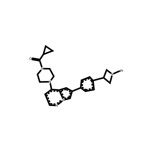 CC(C)N1CC(c2ccc(-c3cc4c(N5CCN(C(=O)C6CC6)CC5)ccnn4c3)cc2)C1